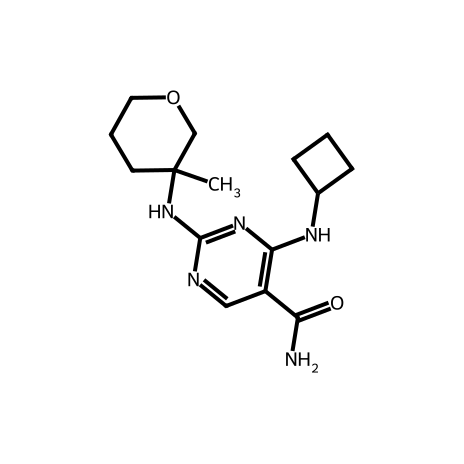 CC1(Nc2ncc(C(N)=O)c(NC3CCC3)n2)CCCOC1